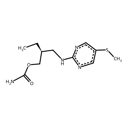 CC[C@@H](CNc1ncc(SC)cn1)COC(N)=O